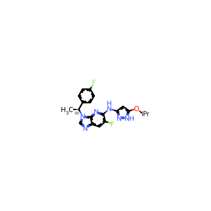 CC(C)Oc1cc(Nc2nc3c(cc2F)ncn3[C@@H](C)c2ccc(F)cc2)n[nH]1